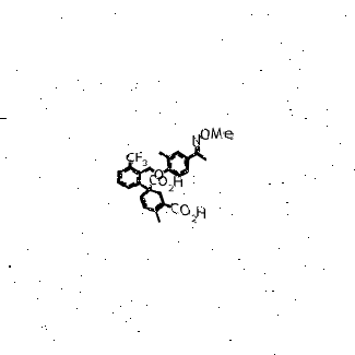 CON=C(C)c1ccc(OCc2c(C(F)(F)F)cccc2C2(C(=O)O)C=CC(C)=C(C(=O)O)C2)c(C)c1